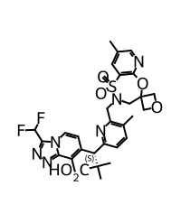 Cc1cnc2c(c1)S(=O)(=O)N(Cc1nc([C@@H](c3ccn4c(C(F)F)nnc4c3C)C(C)(C)C(=O)O)ccc1C)CC1(COC1)O2